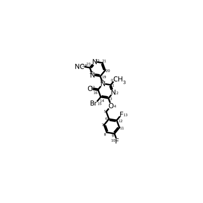 Cc1nc(OCc2ccc(F)cc2F)c(Br)c(=O)n1-c1ccnc(C#N)n1